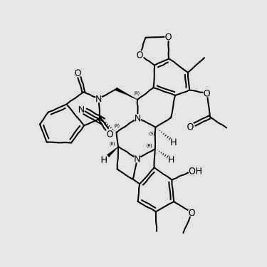 COc1c(C)cc2c(c1O)[C@@H]1[C@@H]3Cc4c(OC(C)=O)c(C)c5c(c4[C@H](CN4C(=O)c6ccccc6C4=O)N3[C@@H](C#N)[C@@H](C2)N1C)OCO5